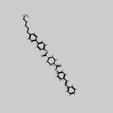 CCCCCCc1ccc(-c2ccc(OC(=O)[C@H]3CC[C@H](C(=O)Oc4ccc(/C=C/c5ccccc5)cc4)CC3)cc2)cc1